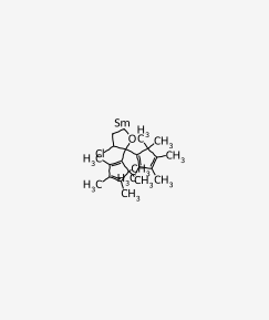 CC1=C(C)C(C)(C)C(C2(C3=C(C)C(C)=C(C)C3(C)C)OCCC2Cl)=C1C.[Sm]